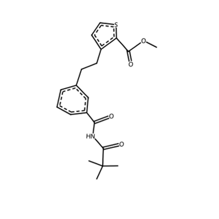 COC(=O)c1sccc1CCc1cccc(C(=O)NC(=O)C(C)(C)C)c1